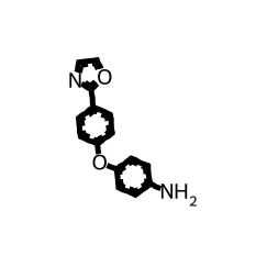 Nc1ccc(Oc2ccc(-c3ncco3)cc2)cc1